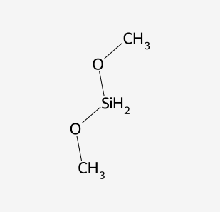 CO[SiH2]OC